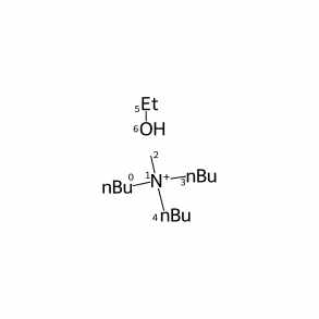 CCCC[N+](C)(CCCC)CCCC.CCO